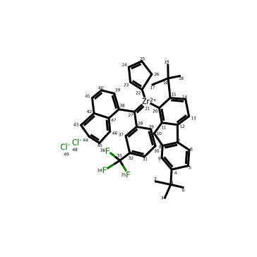 CC(C)(C)c1ccc2c(c1)Cc1c-2ccc(C(C)(C)C)[c]1/[Zr+2]([C]1=CC=CC1)=[C](\c1cccc(C(F)(F)F)c1)c1cccc2ccccc12.[Cl-].[Cl-]